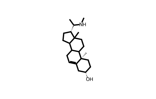 CNC(C)[C@H]1CCC2C3CC=C4C[C@@H](O)CC[C@]4(C)C3CCC21C